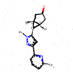 CC(C)n1nc(-c2cccc(C(F)(F)F)n2)cc1[C@H]1[C@@H]2CC(=O)C[C@@H]21